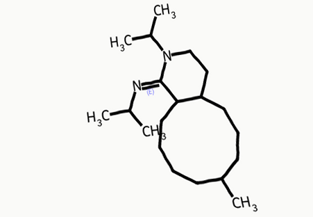 CC1CCCCC2/C(=N\C(C)C)N(C(C)C)CCC2CCC1